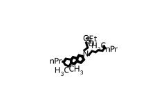 C=C(CCC)CCCCCN(CCCS(=O)(=O)CC)c1ccc2cc3c(cc2c1)C=C(CCC)CC3(C)C